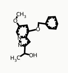 COc1cc(OCc2ccccc2)c2cc(C(C)O)nn2c1